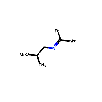 CCCC(CC)=NCC(C)OC